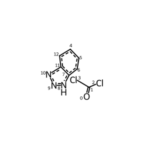 O=C(Cl)Cl.c1ccc2[nH]nnc2c1